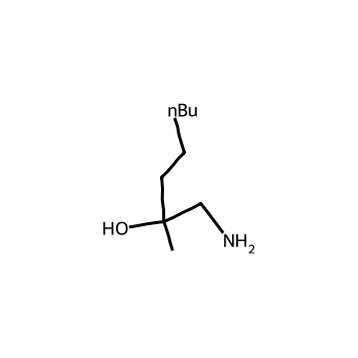 CCCCCCC(C)(O)CN